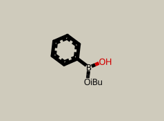 CC(C)COB(O)c1ccccc1